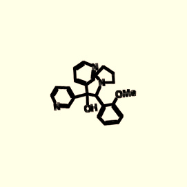 COc1ccccc1C(N1CCCC1)C(O)(c1cccnc1)c1cccnc1